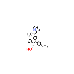 Cc1ccc(/C(=C(\CCCO)C2=CCCC=C2)c2ccc(C3CCN(C)CC3C)cc2)cc1